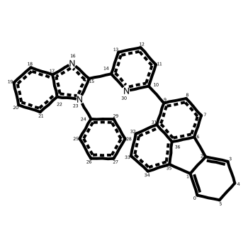 C1=C2C(=CCC1)c1ccc(-c3cccc(-c4nc5ccccc5n4-c4ccccc4)n3)c3cccc2c13